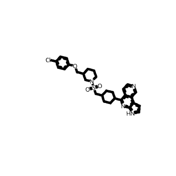 O=S(=O)(CC1CCC(c2nc3[nH]ccc3c3cnccc23)CC1)N1CCCC(COc2ccc(Cl)cc2)C1